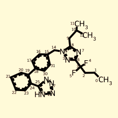 CCCC(F)(F)c1nc(CC(C)C)n(Cc2ccc(-c3ccccc3-c3nnn[nH]3)cc2)n1